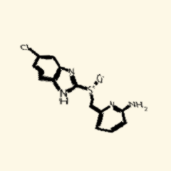 Nc1cccc(C[S+]([O-])c2nc3cc(Cl)ccc3[nH]2)n1